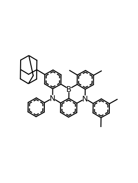 Cc1cc(C)cc(N2c3cc(C)cc(C)c3B3c4ccc(C56CC7CC(CC(C7)C5)C6)cc4N(c4ccccc4)c4cccc2c43)c1